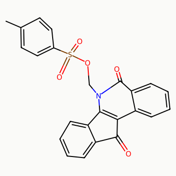 Cc1ccc(S(=O)(=O)OCn2c3c(c4ccccc4c2=O)C(=O)c2ccccc2-3)cc1